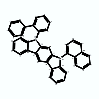 c1ccc(-c2ccccc2-n2c3ccccc3c3cc4c5ccccc5n(-c5cccc6ccccc56)c4cc32)cc1